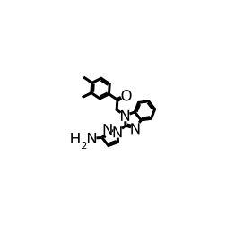 Cc1ccc(C(=O)Cn2c(-n3ccc(N)n3)nc3ccccc32)cc1C